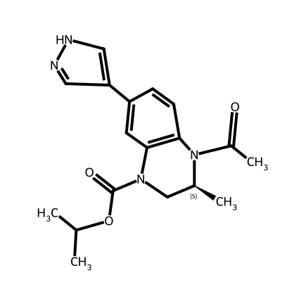 CC(=O)N1c2ccc(-c3cn[nH]c3)cc2N(C(=O)OC(C)C)C[C@@H]1C